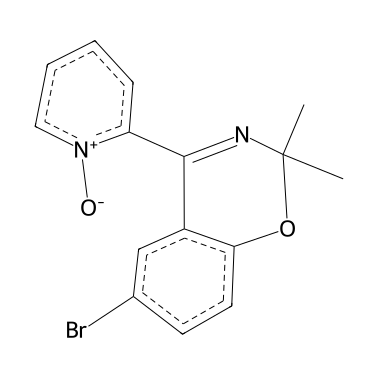 CC1(C)N=C(c2cccc[n+]2[O-])c2cc(Br)ccc2O1